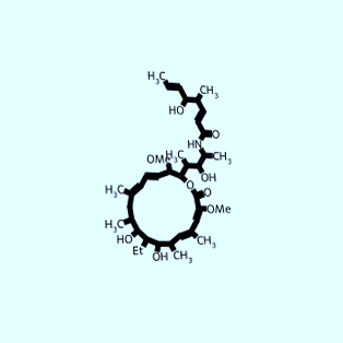 C/C=C/C(O)C(C)/C=C/C(=O)NC(C)C(O)C(C)C1OC(=O)C(OC)=C/C(C)=C/C(C)C(O)C(CC)C(O)C(C)C/C(C)=C/C=C/C1OC